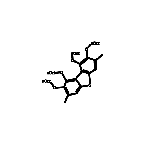 CCCCCCCCOc1c(C)cc2sc3cc(C)c(OCCCCCCCC)c(OCCCCCCCC)c3c2c1OCCCCCCCC